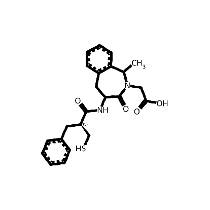 CC1c2ccccc2CC(NC(=O)[C@@H](CS)Cc2ccccc2)C(=O)N1CC(=O)O